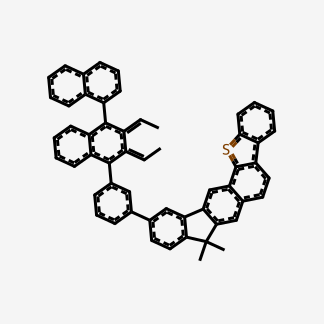 C/C=c1/c(-c2cccc(-c3ccc4c(c3)-c3cc5c(ccc6c7ccccc7sc56)cc3C4(C)C)c2)c2ccccc2c(-c2cccc3ccccc23)/c1=C/C